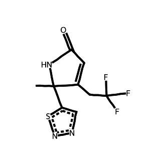 CC1(c2cnns2)NC(=O)C=C1CC(F)(F)F